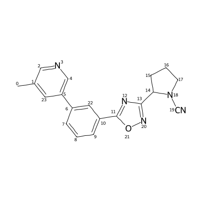 Cc1cncc(-c2cccc(-c3nc(C4CCCN4C#N)no3)c2)c1